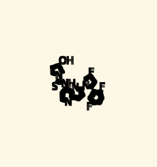 O[C@H]1CCN(C(=S)Nc2ccnc3ccc(N4C[C@@H](F)C[C@@H]4c4cc(F)ccc4F)nc23)C1